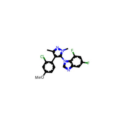 COc1ccc(-c2c(C)nn(C)c2-n2cnc3cc(F)cc(F)c32)c(Cl)c1